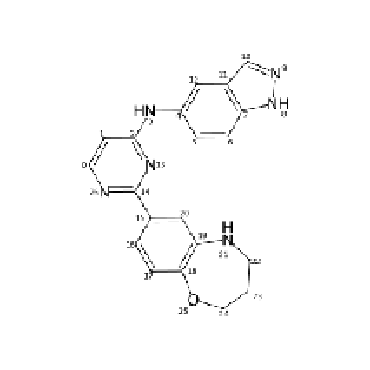 c1cc(Nc2ccc3[nH]ncc3c2)nc(-c2ccc3c(c2)NCCCO3)n1